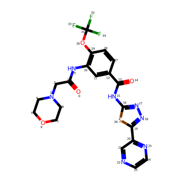 O=C(CN1CCOCC1)Nc1cc(C(=O)Nc2nnc(-c3cnccn3)s2)ccc1OC(F)(F)F